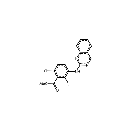 COC(=O)c1c(Cl)ccc(Nc2ncc3ccccc3n2)c1Cl